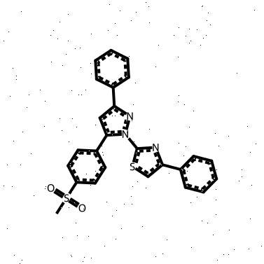 CS(=O)(=O)c1ccc(-c2cc(-c3ccccc3)nn2-c2nc(-c3ccccc3)cs2)cc1